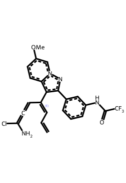 C=C/C=C(\C=C=C(N)Cl)c1c(-c2cccc(NC(=O)C(F)(F)F)c2)nn2cc(OC)ccc12